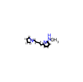 CNc1cccc(CCCCN2CCCC2)n1